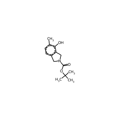 Cc1ccc2c(c1O)CN(C(=O)OC(C)(C)C)C2